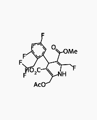 COC(=O)C1=C(CF)NC(COC(C)=O)=C(C(=O)O)C1c1cc(F)cc(F)c1CC(F)F